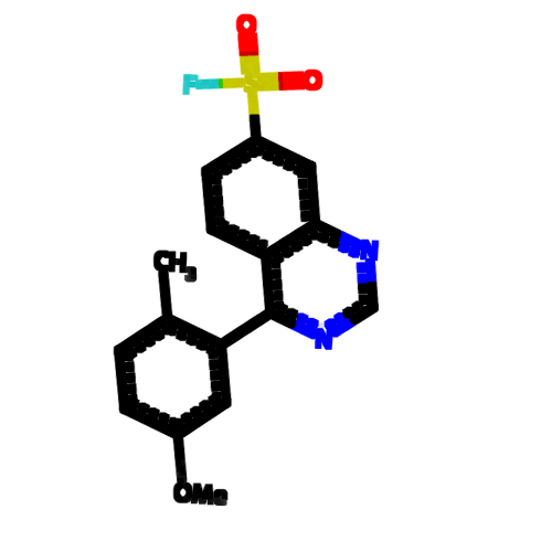 COc1ccc(C)c(-c2ncnc3cc(S(=O)(=O)F)ccc23)c1